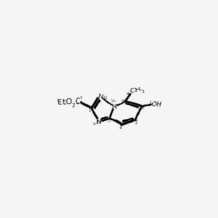 CCOC(=O)c1nc2ccc(O)c(C)n2n1